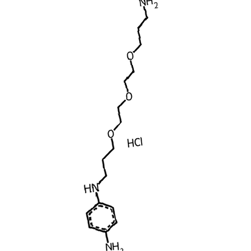 Cl.NCCCOCCOCCOCCCNc1ccc(N)cc1